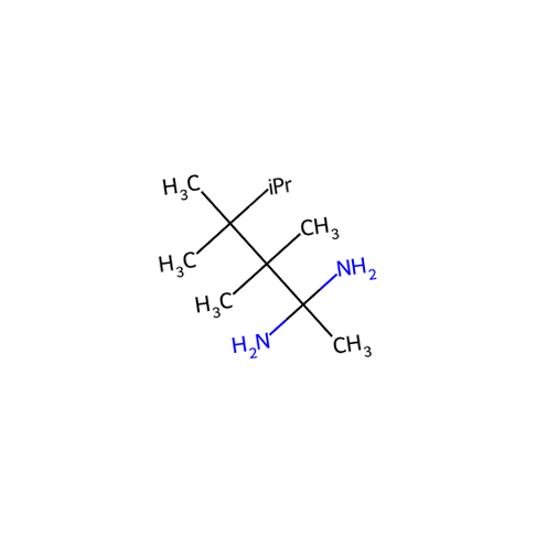 CC(C)C(C)(C)C(C)(C)C(C)(N)N